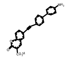 Nc1ccc(-c2ccc(C#Cc3ccc4oc(=O)c(C(=O)O)cc4c3)cc2)cc1